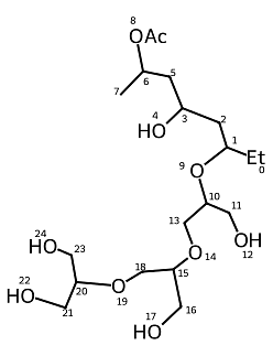 CCC(CC(O)CC(C)OC(C)=O)OC(CO)COC(CO)COC(CO)CO